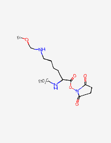 CCOCNCCCCC(NC(=O)OCC)C(=O)ON1C(=O)CCC1=O